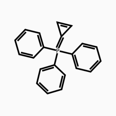 c1ccc(P(c2ccccc2)(c2ccccc2)=c2cc2)cc1